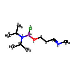 C/N=C/CCOP(Cl)N(C(C)C)C(C)C